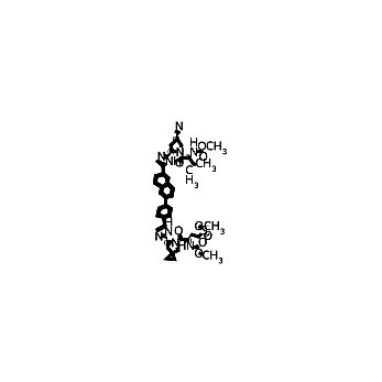 COC(=O)N[C@H](CCS(C)(=O)=O)C(=O)N1CC2(CC2)C[C@@H]1c1ncc(-c2ccc(-c3ccc4cc(-c5cnc([C@H]6C[C@@H](C#N)CN6C(=O)[C@H](NC(=O)OC)C(C)C)[nH]5)ccc4c3)cc2)[nH]1